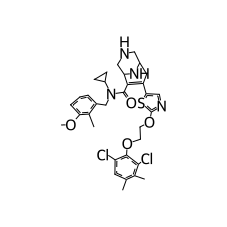 COc1cccc(CN(C(=O)C2=C(c3cnc(OCCOc4c(Cl)cc(C)c(C)c4Cl)s3)CC3CNCC2N3)C2CC2)c1C